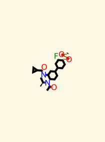 CC(=O)N1C2CCC(C3CCC(S(C)(=O)=O)C(F)C3)CC2N(C(=O)C2CC2)C[C@@H]1C